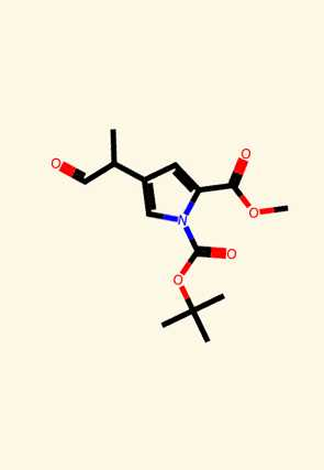 COC(=O)c1cc(C(C)C=O)cn1C(=O)OC(C)(C)C